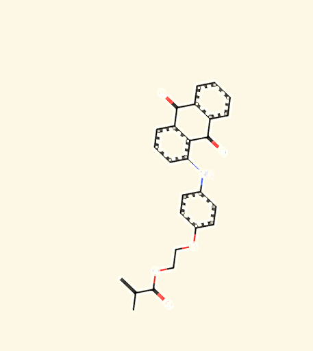 C=C(C)C(=O)OCCOc1ccc(Nc2cccc3c2C(=O)c2ccccc2C3=O)cc1